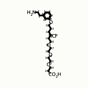 Cl.NCCc1cccc(OCCCCCCOCCOCCOCCC(=O)O)c1